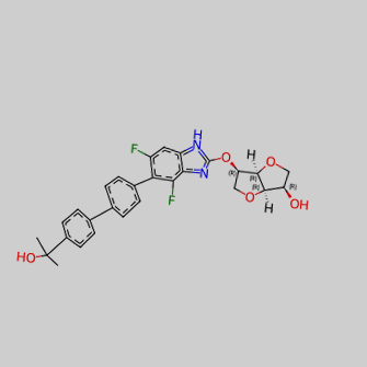 CC(C)(O)c1ccc(-c2ccc(-c3c(F)cc4[nH]c(O[C@@H]5CO[C@H]6[C@@H]5OC[C@H]6O)nc4c3F)cc2)cc1